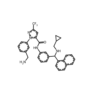 NCc1cccc(-n2nc(C(F)(F)F)cc2C(=O)Nc2cccc(C(NCC3CC3)c3cccc4ccccc34)c2)c1